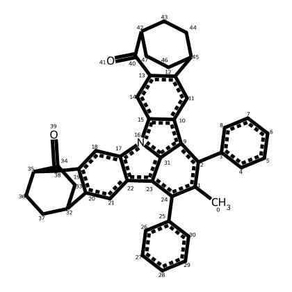 Cc1c(-c2ccccc2)c2c3cc4c(cc3n3c5cc6c(cc5c(c1-c1ccccc1)c23)C1CCC(CC1)C6=O)C(=O)C1CCC4CC1